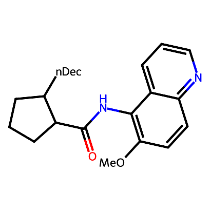 CCCCCCCCCCC1CCCC1C(=O)Nc1c(OC)ccc2ncccc12